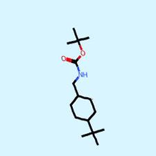 CC(C)(C)OC(=O)NCC1[CH]CC(C(C)(C)C)CC1